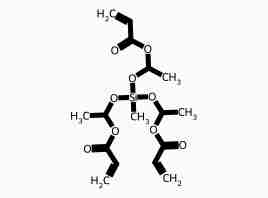 C=CC(=O)OC(C)O[Si](C)(OC(C)OC(=O)C=C)OC(C)OC(=O)C=C